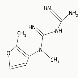 Cc1occc1N(C)C(=N)NC(=N)N